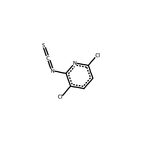 S=C=Nc1nc(Cl)ccc1Cl